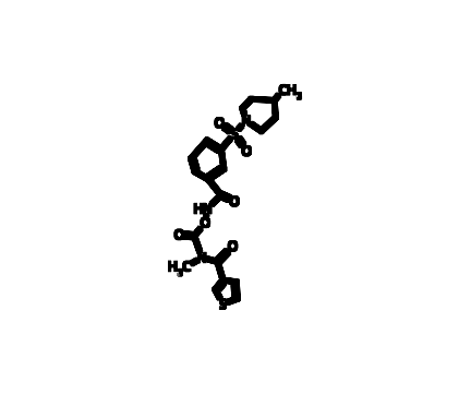 CC1CCN(S(=O)(=O)c2cccc(C(=O)NOC(=O)N(C)C(=O)c3ccsc3)c2)CC1